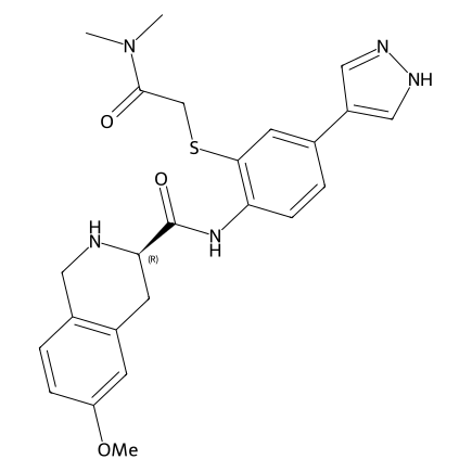 COc1ccc2c(c1)C[C@H](C(=O)Nc1ccc(-c3cn[nH]c3)cc1SCC(=O)N(C)C)NC2